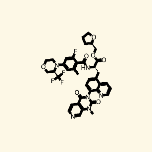 Cc1cc(N2CCOC[C@@H]2C(F)(F)F)cc(F)c1C(=O)N[C@@H](Cc1ccc(-n2c(=O)c3ccncc3n(C)c2=O)c2ncccc12)C(=O)OC[C@H]1CCCO1